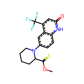 COC(=S)C1CCCCN1c1ccc2[nH]c(=O)cc(C(F)(F)F)c2c1